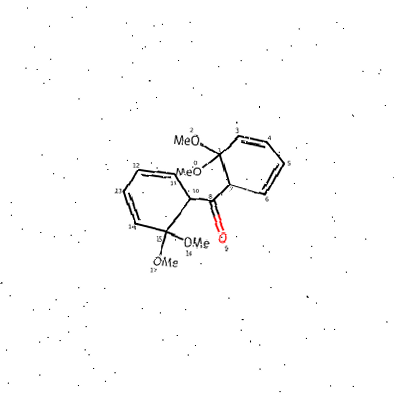 COC1(OC)C=CC=CC1C(=O)C1C=CC=CC1(OC)OC